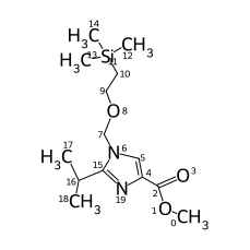 COC(=O)c1cn(COCC[Si](C)(C)C)c(C(C)C)n1